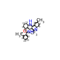 Cc1ccc2nc(C(F)(F)F)cc(N[C@H]3CCCCC3CNC(=O)c3ccccc3C)c2c1